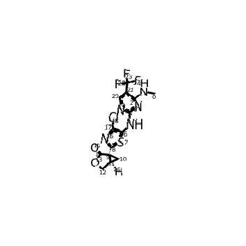 CNc1nc(Nc2sc([C@]34C[C@H]3COC4=O)nc2Cl)ncc1C(F)(F)F